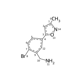 Cc1cc(-c2ccc(Br)c(CN)c2)on1